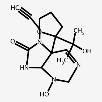 C#CCN1C(=O)NC2N(O)CN=CC21C1(C(C)(C)O)CCCO1